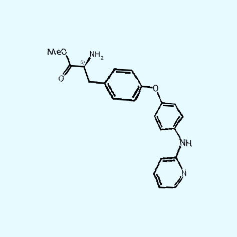 COC(=O)[C@@H](N)Cc1ccc(Oc2ccc(Nc3ccccn3)cc2)cc1